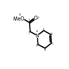 COC(=O)CN1CC=CCC1